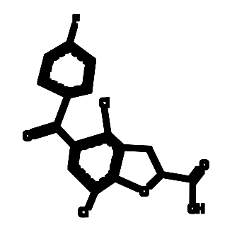 O=C(c1ccc(F)cc1)c1cc(Cl)c2c(c1Cl)CC(C(=O)O)O2